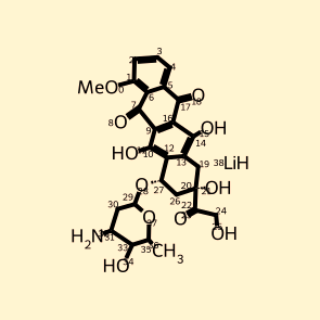 COc1cccc2c1C(=O)c1c(O)c3c(c(O)c1C2=O)C[C@@](O)(C(=O)CO)C[C@@H]3OC1CC(N)C(O)C(C)O1.[LiH]